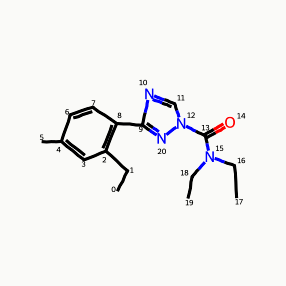 CCc1cc(C)ccc1-c1ncn(C(=O)N(CC)CC)n1